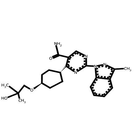 Cc1nn(-c2ncc(C(N)=O)c([C@H]3CC[C@H](OCC(C)(C)O)CC3)n2)c2ccccc12